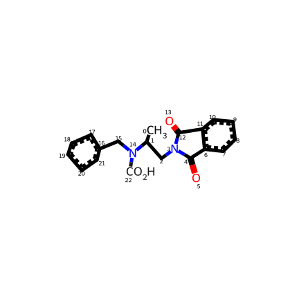 CC(CN1C(=O)c2ccccc2C1=O)N(Cc1ccccc1)C(=O)O